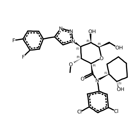 CO[C@@H]1[C@@H](n2cc(-c3ccc(F)c(F)c3)nn2)[C@@H](O)[C@@H](CO)O[C@H]1C(=O)N(c1cc(Cl)cc(Cl)c1)[C@H]1CCCC[C@@H]1O